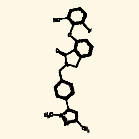 Cc1cc(-c2ccc(CN3Cc4cccc(Oc5c(F)cccc5C#N)c4C3=O)cc2)n(C)n1